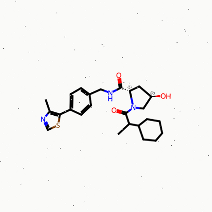 Cc1ncsc1-c1ccc(CNC(=O)[C@@H]2C[C@@H](O)CN2C(=O)C(C)C2CCCCC2)cc1